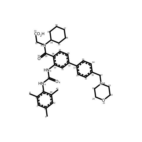 Cc1cc(C)c(NC(=O)Nc2cc(-c3ccc(CN4CCOCC4)cc3)ccc2C(=O)N(CC(=O)O)C2CCCCC2)c(C)c1